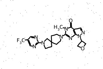 Cn1c(N2CCC3(CCN(c4ncc(C(F)(F)F)cn4)C3)CC2)nc2c(cnn2C2COC2)c1=O